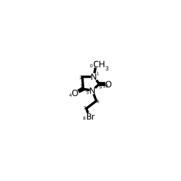 CN1CC(=O)N(CCBr)C1=O